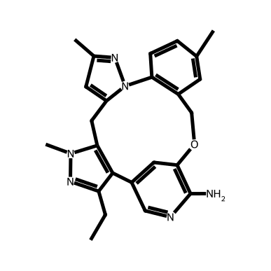 CCc1nn(C)c2c1-c1cnc(N)c(c1)OCc1cc(C)ccc1-n1nc(C)cc1C2